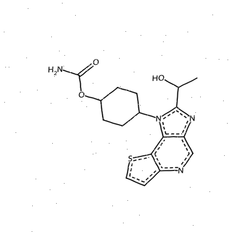 CC(O)c1nc2cnc3ccsc3c2n1C1CCC(OC(N)=O)CC1